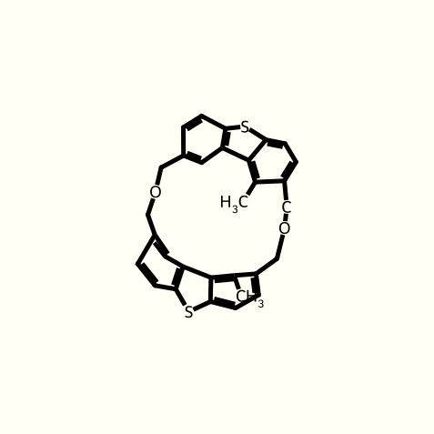 Cc1c2ccc3sc4ccc(cc4c13)COCc1ccc3sc4ccc(c(C)c4c3c1)COC2